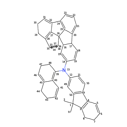 CC1(C)C2=C(C=CCC2)c2ccc(N(C3=CC4C(C=C3)c3cccc5c3C43C4=C(CCC=C45)c4ccccc43)C3=C4C=CCCC4=CCC3)cc21